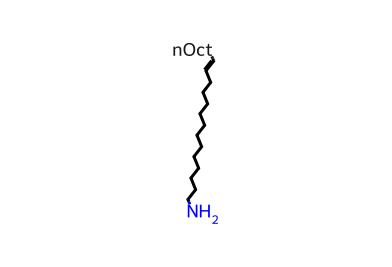 CCCCCCCCC=CCCCCCCCCCCCCN